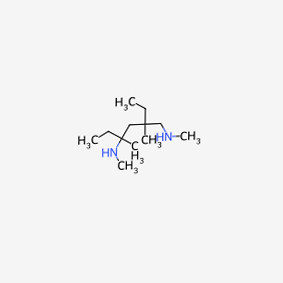 CCC(C)(CNC)CC(C)(CC)NC